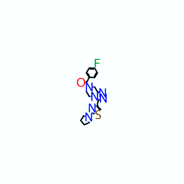 O=C(c1ccc(F)cc1)N1CCn2c(nnc2-c2csc(N3CCCC3)n2)C1